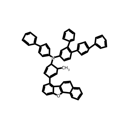 CC1C=C(c2cccc3oc4c5ccccc5ccc4c23)C=CC1N(c1ccc(-c2ccccc2)cc1)c1ccc(-c2ccc(-c3ccccc3)cc2)c(-c2ccccc2)c1